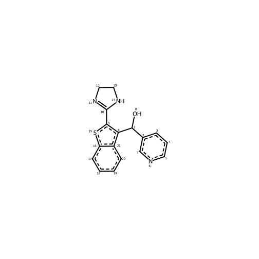 OC(c1cccnc1)c1c(C2=NCCN2)sc2ccccc12